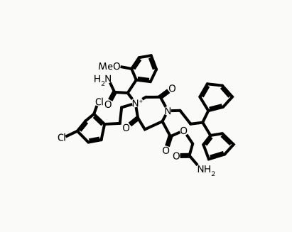 COc1ccccc1C(C(N)=O)[N+]1(CCc2ccc(Cl)cc2Cl)CC(=O)N(CCC(c2ccccc2)c2ccccc2)C(C(=O)OCC(N)=O)CC1=O